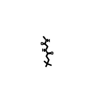 CNC(=O)CNC(=O)CCC(C)(C)C